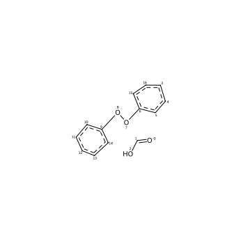 O=CO.c1ccc(OOc2ccccc2)cc1